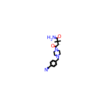 CC(C)([CH]C(=O)N1CCN(Cc2ccc(C#N)cc2)CC1)C(N)=O